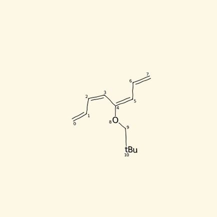 C=C/C=C\C(=C/C=C)OCC(C)(C)C